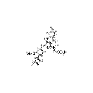 COc1cc(/C=C2\N=C3N(CC(=O)O)CCC(c4ccc(F)cc4)N3C2=O)ccc1-n1cnc(C)c1